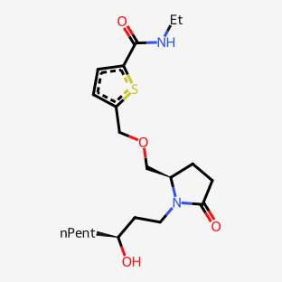 CCCCC[C@H](O)CCN1C(=O)CC[C@@H]1COCc1ccc(C(=O)NCC)s1